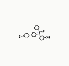 CCC/C(=C(/c1ccc(C2CCN(C3CC3)CC2)cc1)c1cccc(O)c1)c1ccccc1